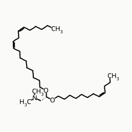 CCC/C=C\CCCCCCCO[C@H](CN(C)C)OCCCCCCCC/C=C\C/C=C\CCCCC